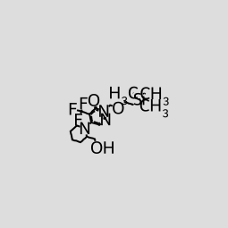 C[Si](C)(C)CCOCn1ncc(N2CCCCC2CO)c(C(F)(F)F)c1=O